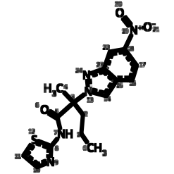 CCCC(C)(C(=O)Nc1nccs1)n1cc2ccc([N+](=O)[O-])cc2n1